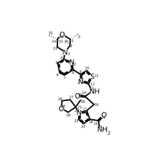 C[C@@H]1CN(c2cccc(-c3csc(NC(=O)Cc4c(C(N)=O)ccn4C4(C)CCOC4)n3)n2)C[C@H](C)O1